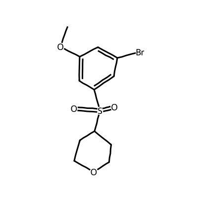 COc1cc(Br)cc(S(=O)(=O)C2CCOCC2)c1